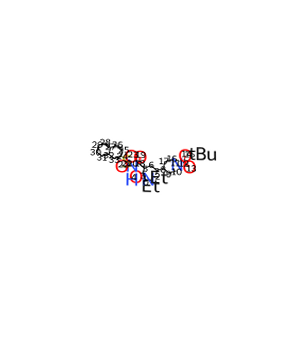 CCN(CC)C(=O)C(CCC1CCN(C(=O)OC(C)(C)C)CC1)C(=O)NS(=O)(=O)c1ccc2ccccc2c1